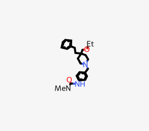 CCOCC1(CCc2ccccc2)CCN(Cc2ccc(NC(=O)NC)cc2)CC1